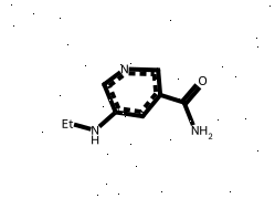 CCNc1cncc(C(N)=O)c1